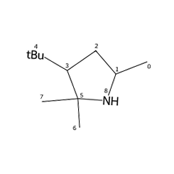 CC1CC(C(C)(C)C)C(C)(C)N1